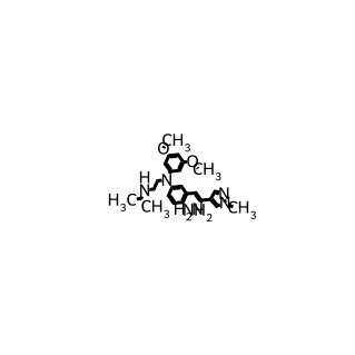 COc1cc(OC)cc(N(CCNC(C)C)c2ccc(N)c(/C=C(\N)c3cnn(C)c3)c2)c1